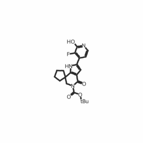 CC(C)(C)OC(=O)N1CC2(CCCC2)c2[nH]c(-c3ccnc(O)c3F)cc2C1=O